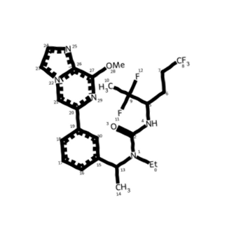 CCN(C(=O)NC(CCC(F)(F)F)C(C)(F)F)C(C)c1cccc(-c2cn3ccnc3c(OC)n2)c1